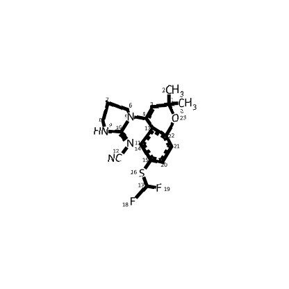 CC1(C)C=C(N2CCCNC2=NC#N)c2cc(SC(F)F)ccc2O1